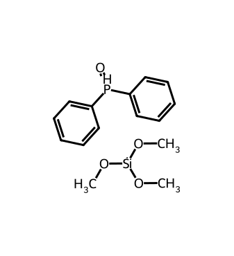 CO[Si](OC)OC.O=[PH](c1ccccc1)c1ccccc1